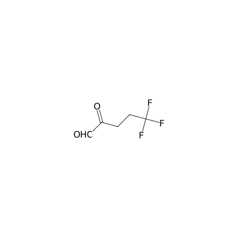 O=CC(=O)CCC(F)(F)F